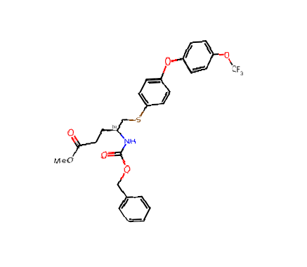 COC(=O)CC[C@@H](CSc1ccc(Oc2ccc(OC(F)(F)F)cc2)cc1)NC(=O)OCc1ccccc1